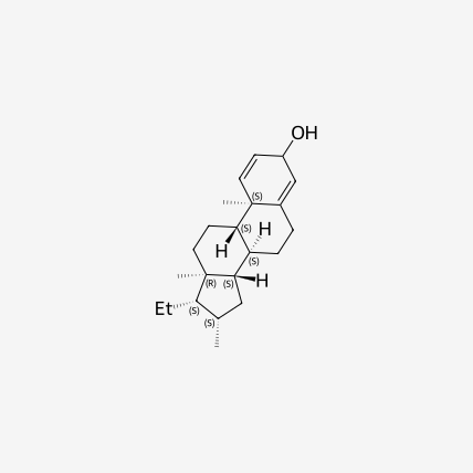 CC[C@H]1[C@@H](C)C[C@H]2[C@@H]3CCC4=CC(O)C=C[C@]4(C)[C@H]3CC[C@@]21C